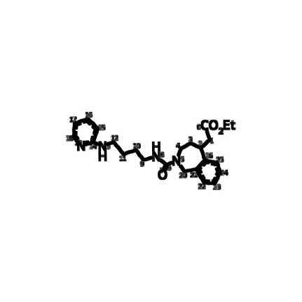 CCOC(=O)CC1CCN(C(=O)NCCCCNc2ccccn2)Cc2ccccc21